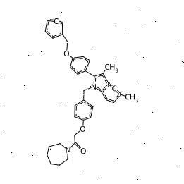 Cc1ccc2c(c1)c(C)c(-c1ccc(OCc3ccccc3)cc1)n2Cc1ccc(OCC(=O)N2CCCCCC2)cc1